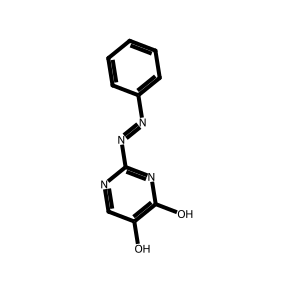 Oc1cnc(N=Nc2ccccc2)nc1O